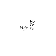 [Co].[Fe].[Nb].[SrH2]